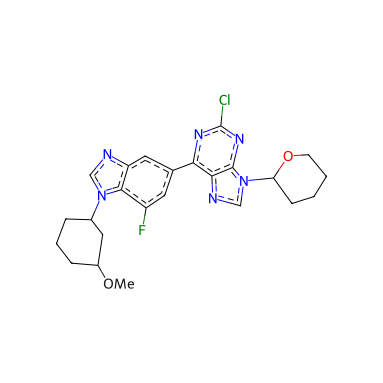 COC1CCCC(n2cnc3cc(-c4nc(Cl)nc5c4ncn5C4CCCCO4)cc(F)c32)C1